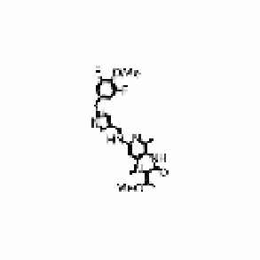 COc1c(F)cc(Cn2cc(CNc3cc4c(c(C)n3)NC(=O)C(C(C)OC)N4C)cn2)cc1F